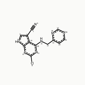 N#Cc1c[nH]c2nc(Cl)nc(NCc3ccncn3)c12